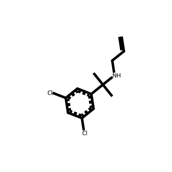 C=CCNC(C)(C)c1cc(Cl)cc(Cl)c1